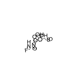 O=BCCc1ccc(OC2CN(C(=O)[C@@H]3C[C@H](F)CN3)C2)c(C(=O)O)c1O